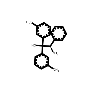 Cc1cccc(C(O)(c2cccc(C)c2)[C@H](N)c2ccccc2)c1